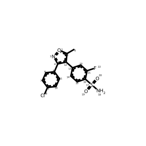 Cc1onc(-c2ccc(Cl)cc2)c1-c1ccc(S(N)(=O)=O)c(F)c1